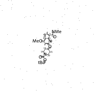 CNC(=O)c1csc2c(OC)cc(OC3CCN(C(=O)OC(C)(C)C)CC3)nc12